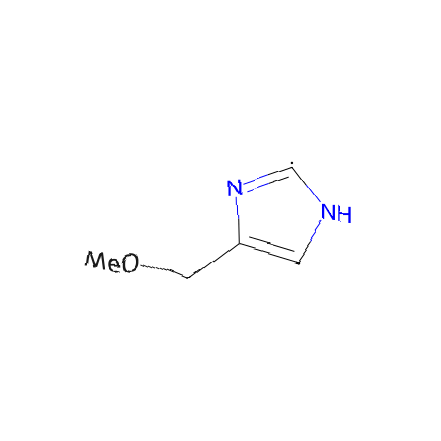 COCc1c[nH][c]n1